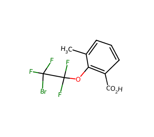 Cc1cccc(C(=O)O)c1OC(F)(F)C(F)(F)Br